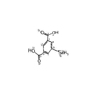 O=C(O)c1cc([SiH3])cc(C(=O)O)c1